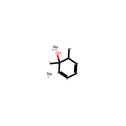 CC1C=CC=CC1(C)O.[Na].[Na]